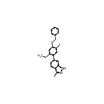 CCc1cc(OCc2ccccc2)c(F)cc1-c1ccc2c(I)n[nH]c2c1